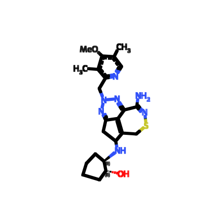 COc1c(C)cnc(CN2N=C3CC(N[C@@H]4CCCC[C@H]4O)C4=C3C(=N2)C(N)=NSC4)c1C